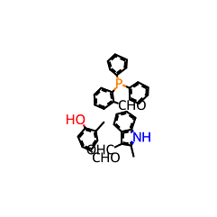 Cc1[nH]c2ccccc2c1C=O.Cc1cc(C=O)ccc1O.O=Cc1ccccc1P(c1ccccc1)c1ccccc1